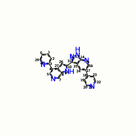 c1ccc(-c2cncc3[nH]c(-c4n[nH]c5ncc(-c6ccncc6)cc45)cc23)nc1